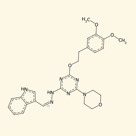 COc1ccc(CCOc2nc(N/N=C\c3c[nH]c4ccccc34)nc(N3CCOCC3)n2)cc1OC